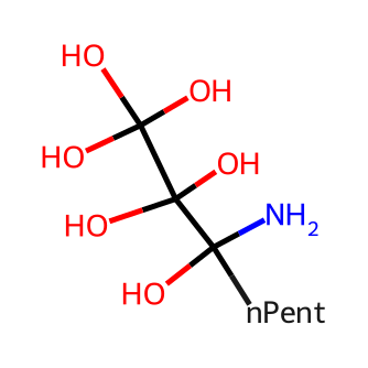 CCCCCC(N)(O)C(O)(O)C(O)(O)O